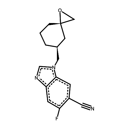 N#Cc1cc2c(cc1F)ncn2C[C@H]1CCC[C@@]2(CO2)C1